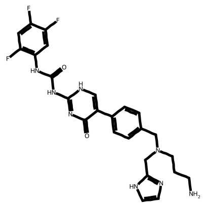 NCCCN(Cc1ccc(-c2c[nH]c(NC(=O)Nc3cc(F)c(F)cc3F)nc2=O)cc1)Cc1ncc[nH]1